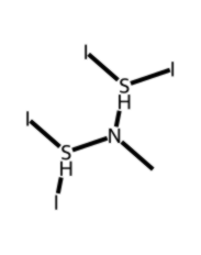 CN([SH](I)I)[SH](I)I